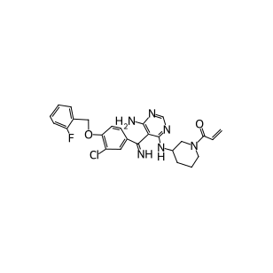 C=CC(=O)N1CCCC(Nc2ncnc(N)c2C(=N)c2ccc(OCc3ccccc3F)c(Cl)c2)C1